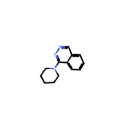 c1ccc2c(N3CCCCC3)nncc2c1